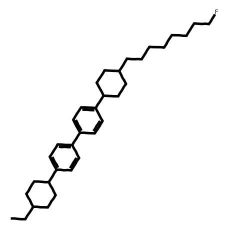 CCC1CCC(c2ccc(-c3ccc(C4CCC(CCCCCCCCF)CC4)cc3)cc2)CC1